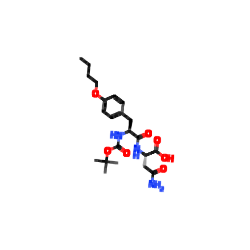 CCCCOc1ccc(C[C@H](NC(=O)OC(C)(C)C)C(=O)N[C@@H](CC(N)=O)C(=O)O)cc1